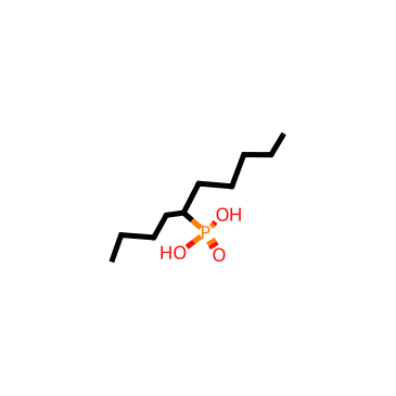 CCCCCC(CCCC)P(=O)(O)O